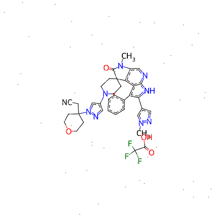 CN1C(=O)C2(CCN(c3cnn(C4(CC#N)CCOCC4)c3)CC2)c2c1cnc1[nH]c(-c3cnn(C)c3)c(-c3ccccc3)c21.O=C(O)C(F)(F)F